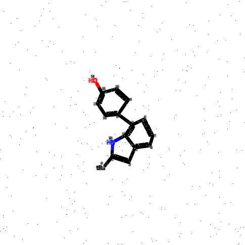 CC(C)(C)c1cc2cccc(-c3ccc(O)cc3)c2[nH]1